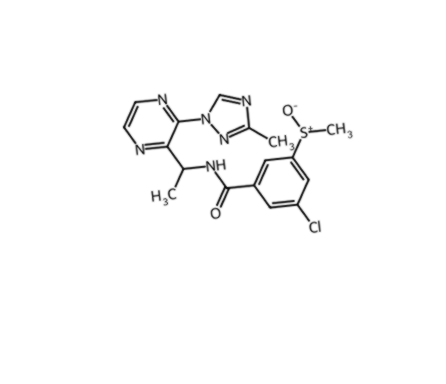 Cc1ncn(-c2nccnc2C(C)NC(=O)c2cc(Cl)cc([S+](C)[O-])c2)n1